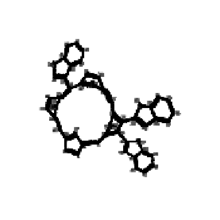 C1=Cc2cc3[nH]c(cc4nc(c(-c5csc6ccccc56)c5ccc(cc1n2)[nH]5)C=C4)c(-c1cc2ccccc2s1)c3-c1cc2ccccc2s1